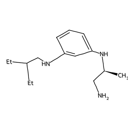 CCC(CC)CNc1cccc(N[C@@H](C)CN)c1